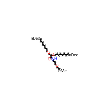 CCCCCCCCCCCCCCCCCCOC[C@@H](OCCCCCCCCCCCCCCCCCC)C(=O)NCCCOCCOC